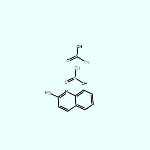 O=S(O)O.O=S(O)O.Oc1ccc2ccccc2n1